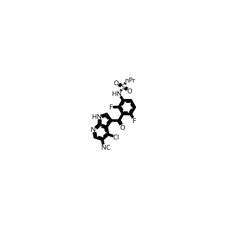 [C-]#[N+]c1cnc2[nH]cc(C(=O)c3c(F)ccc(NS(=O)(=O)CCC)c3F)c2c1Cl